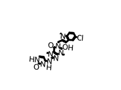 CN1c2nc(Nc3cc[nH]c(=O)n3)n(C)c2C(=O)N(Cc2cc3cc(Cl)ccc3n2C)C1O